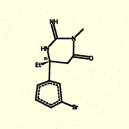 CC[C@@]1(c2cccc(Br)c2)CC(=O)N(C)C(=N)N1